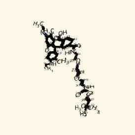 CC/N=c1/cc2oc3cc(NCC)c(C)cc3c(-c3cc(C(=O)NCCOCCOCCNC(=O)OCCC(C)(C)S)ccc3C(=O)O)c-2cc1C